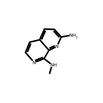 CNc1nccc2ccc(N)nc12